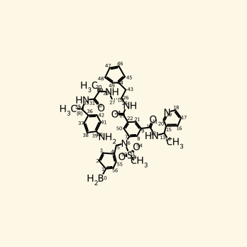 Bc1ccc(CN(c2cc(C(=O)NC(C)c3cccnc3)cc(C(=O)N[C@H](CN[C@@H](C)C(=O)N[C@H](C)c3ccc(N)cc3)Cc3ccccc3)c2)S(C)(=O)=O)cc1